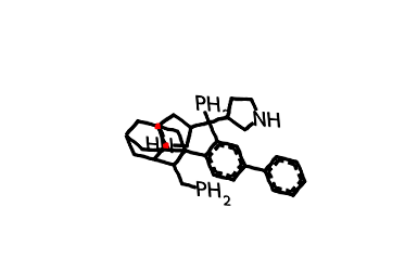 PCC1C2CC3CC(C2)CC1(c1ccc(-c2ccccc2)cc1C(P)(C1CCNC1)C1CCNC1)C3